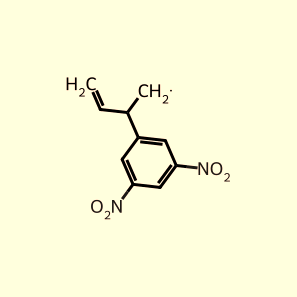 [CH2]C(C=C)c1cc([N+](=O)[O-])cc([N+](=O)[O-])c1